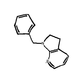 [c]1ccnc2c1CCN2Cc1ccccc1